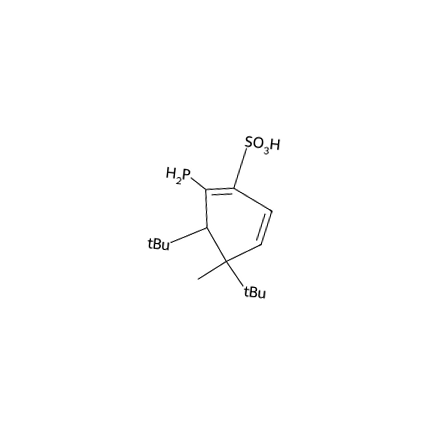 CC(C)(C)C1C(P)=C(S(=O)(=O)O)C=CC1(C)C(C)(C)C